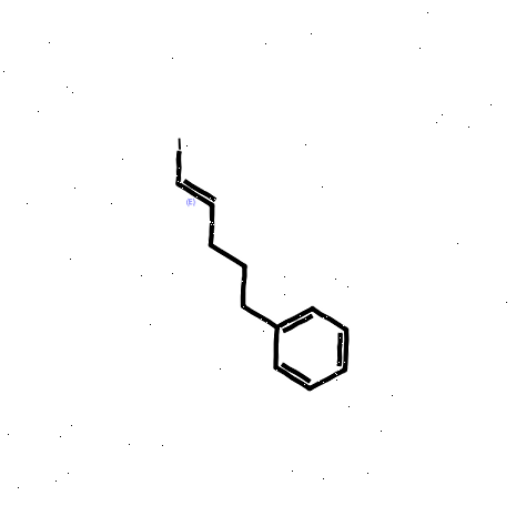 I/C=C/CCCc1ccccc1